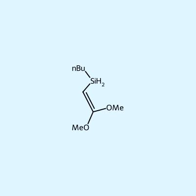 CCCC[SiH2]C=C(OC)OC